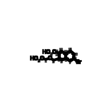 O=C(O)COCc1cc2cc(Br)ccc2cc1C(=O)O